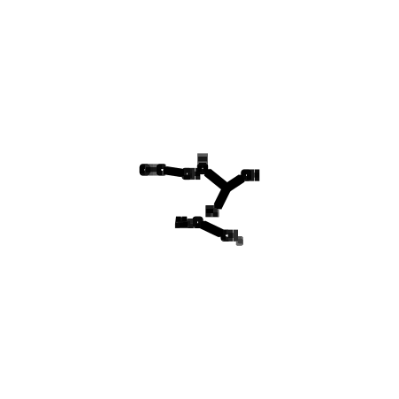 CCC(O)O.COC.O=CO